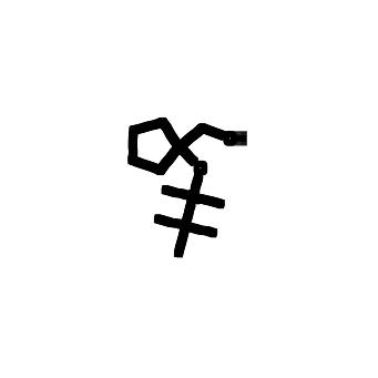 CC(C)(C)[Si](C)(C)OC1(CO)CCCC1